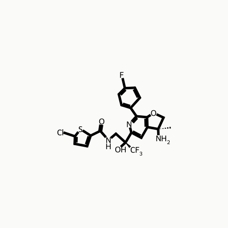 C[C@@]1(N)COc2c1cc([C@](O)(CNC(=O)c1ccc(Cl)s1)C(F)(F)F)nc2-c1ccc(F)cc1